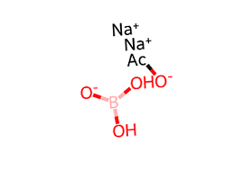 CC(=O)[O-].[Na+].[Na+].[O-]B(O)O